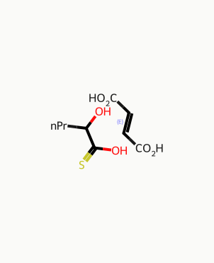 CCCC(O)C(O)=S.O=C(O)/C=C/C(=O)O